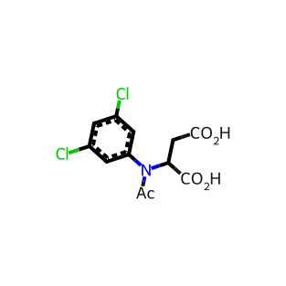 CC(=O)N(c1cc(Cl)cc(Cl)c1)C(CC(=O)O)C(=O)O